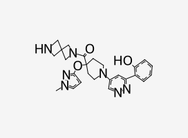 Cn1ccc(OC2(C(=O)N3CC4(CNC4)C3)CCN(c3cnnc(-c4ccccc4O)c3)CC2)n1